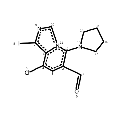 O=Cc1cc(Cl)c2c(I)ncn2c1N1CCCC1